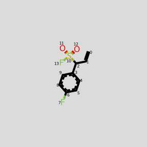 C=CC(c1ccc(F)cc1)S(=O)(=O)F